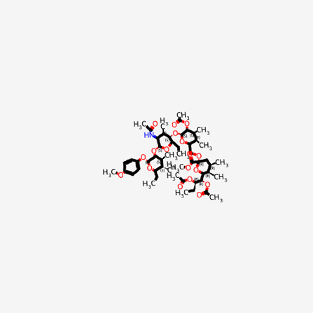 CCC1O[C@H](Oc2ccc(OC)cc2)C(O[C@@H]2OC(CC)[C@@H](O[C@@H]3OC(CO[C@]4(C(=O)OC)C[C@@H](C)[C@@H](C)C([C@H](OC(C)=O)[C@@H](CC)OC(C)=O)O4)[C@H](C)[C@H](C)C3OC(C)=O)[C@H](C)C2NC(C)=O)[C@@H](C)[C@@H]1C